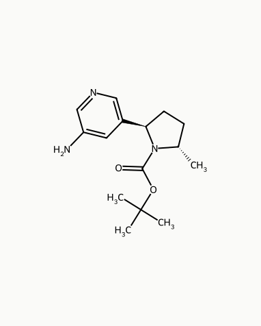 C[C@H]1CC[C@H](c2cncc(N)c2)N1C(=O)OC(C)(C)C